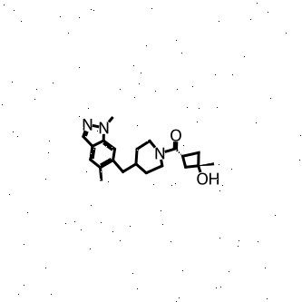 Cc1cc2cnn(C)c2cc1CC1CCN(C(=O)[C@H]2C[C@@](C)(O)C2)CC1